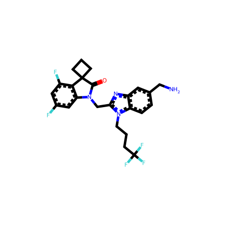 NCc1ccc2c(c1)nc(CN1C(=O)C3(CCC3)c3c(F)cc(F)cc31)n2CCCC(F)(F)F